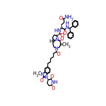 C[C@H]1CN(C(=O)CCCCCc2ccc3c(c2)n(C)c(=O)n3C2CCC(=O)NC2=O)CC[C@H]2CC[C@@H](C(=O)N[C@@H](CCC(N)=O)C(=O)NC(c3ccccc3)c3ccccc3)N2C1=O